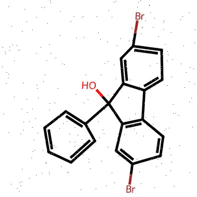 OC1(c2ccccc2)c2cc(Br)ccc2-c2ccc(Br)cc21